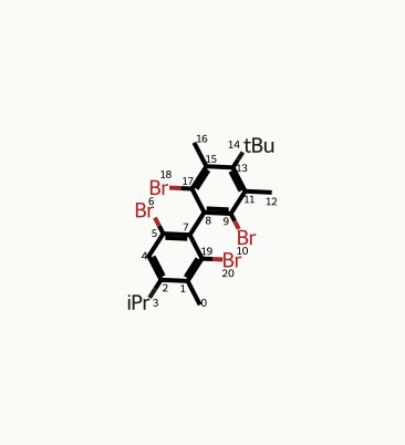 Cc1c(C(C)C)cc(Br)c(-c2c(Br)c(C)c(C(C)(C)C)c(C)c2Br)c1Br